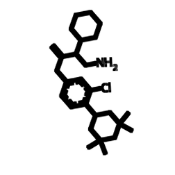 C=C(Cc1ccc(C2CC(C)(C)CC(C)(C)C2)c(Cl)c1)C(CN)C1CCCCC1